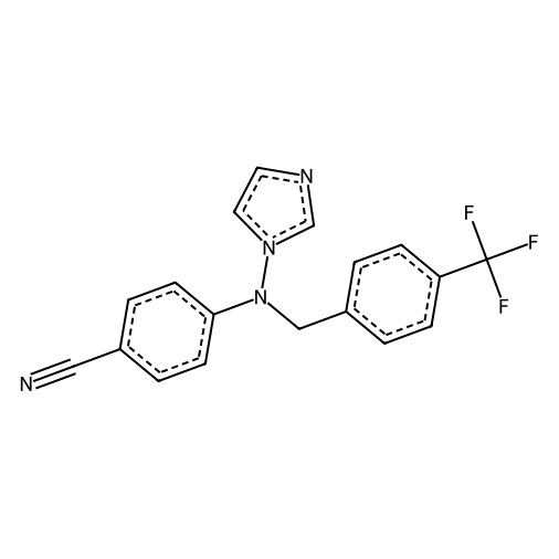 N#Cc1ccc(N(Cc2ccc(C(F)(F)F)cc2)n2ccnc2)cc1